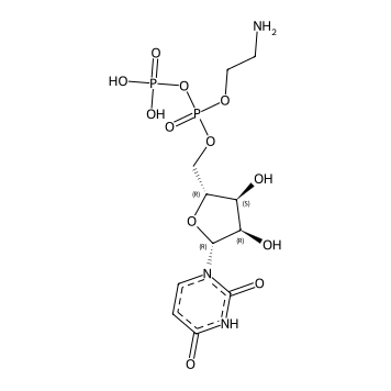 NCCOP(=O)(OC[C@H]1O[C@@H](n2ccc(=O)[nH]c2=O)[C@H](O)[C@@H]1O)OP(=O)(O)O